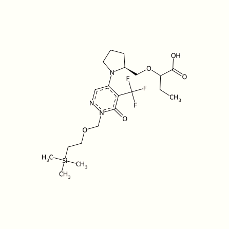 CCC(OC[C@@H]1CCCN1c1cnn(COCC[Si](C)(C)C)c(=O)c1C(F)(F)F)C(=O)O